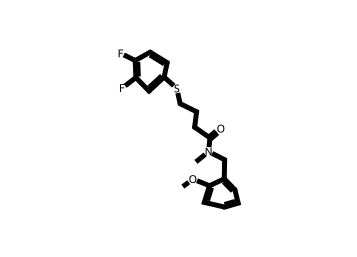 COc1ccccc1CN(C)C(=O)CCCSc1ccc(F)c(F)c1